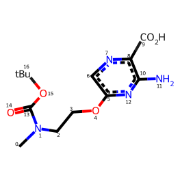 CN(CCOc1cnc(C(=O)O)c(N)n1)C(=O)OC(C)(C)C